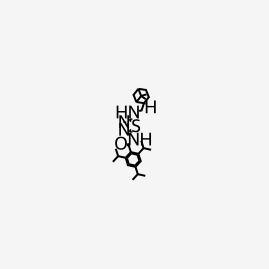 CC(C)c1cc(C(C)C)c(C(=O)Nc2nnc(NC[C@@H]3CCC4CC3C4(C)C)s2)c(C(C)C)c1